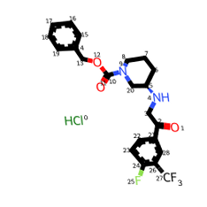 Cl.O=C(CN[C@@H]1CCCN(C(=O)OCc2ccccc2)C1)c1ccc(F)c(C(F)(F)F)c1